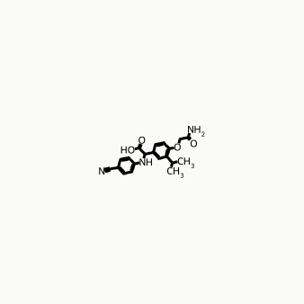 CC(C)c1cc(C(Nc2ccc(C#N)cc2)C(=O)O)ccc1OCC(N)=O